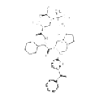 C[C@@H](CN(C(=O)O)C(C)(C)C)C(=O)N[C@H](C(=O)N1C[C@H]2CCCN2C[C@H]1c1nc(C(=O)c2ccccc2)cs1)C1CCCCC1